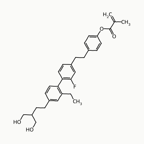 C=C(C)C(=O)Oc1ccc(CCc2ccc(-c3ccc(CCC(CO)CO)cc3CC)c(F)c2)cc1